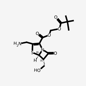 CC(C)(C)C(=O)OCOC(=O)C1=C(CN)S[C@@H]2[C@@H](CO)C(=O)N12